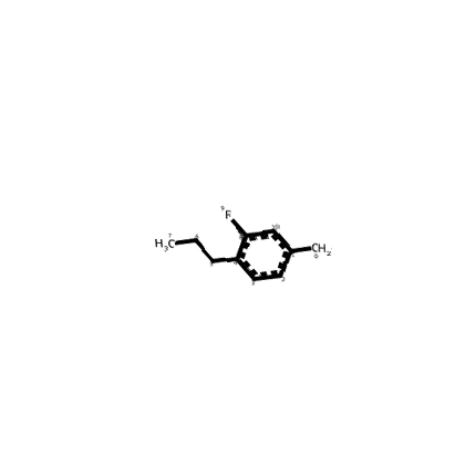 [CH2]c1ccc(CCC)c(F)c1